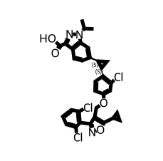 CC(C)n1nc(C(=O)O)c2ccc([C@H]3C[C@@H]3c3ccc(OCc4c(-c5c(Cl)cccc5Cl)noc4C4CC4)cc3Cl)cc21